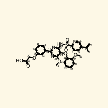 C=C(C)c1ccc(S(=O)(=O)Nc2nc(-c3cccc(OCC(=O)O)c3)nc(OC)c2Oc2ccccc2OC)nc1